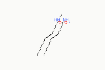 CCCCCCCCCCCCC#CC#CCCCCCCCCC(=O)NCCCC.CCCCCCCCCCCCC#CC#CCCCCCCCCC(N)=O